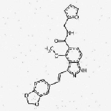 COc1c(C(=O)NCc2ccco2)ccc2[nH]nc(/C=C/c3ccc4c(c3)OCO4)c12